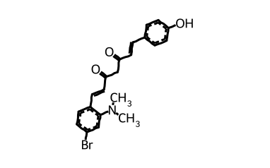 CN(C)c1cc(Br)ccc1C=CC(=O)CC(=O)C=Cc1ccc(O)cc1